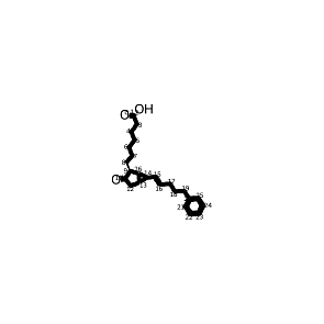 O=C(O)CCCCCC[C@@H]1C(=O)CC2C(/C=C/CCCc3ccccc3)C21